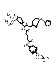 Cc1cc2c(cc1C)C(OC(=O)CCCC(=O)Nc1ccc(C(=O)O)cc1)=C(CC1CCN(Cc3ccccc3)CC1)C2